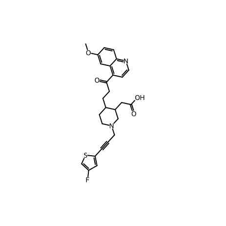 COc1ccc2nccc(C(=O)CCC3CCN(CC#Cc4cc(F)cs4)CC3CC(=O)O)c2c1